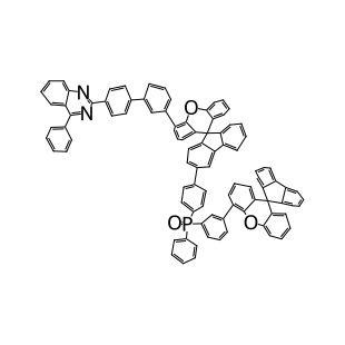 O=P(c1ccccc1)(c1ccc(-c2ccc3c(c2)-c2ccccc2C32c3ccccc3Oc3c(-c4cccc(-c5ccc(-c6nc(-c7ccccc7)c7ccccc7n6)cc5)c4)cccc32)cc1)c1cccc(-c2cccc3c2Oc2ccccc2C32c3ccccc3-c3ccccc32)c1